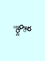 Cc1cccc(C(=O)Nc2ccc3[nH]c4c(c3c2)CC(N(C)C)CC4)c1